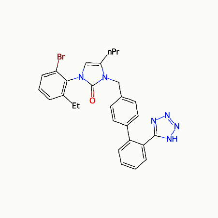 CCCc1cn(-c2c(Br)cccc2CC)c(=O)n1Cc1ccc(-c2ccccc2-c2nnn[nH]2)cc1